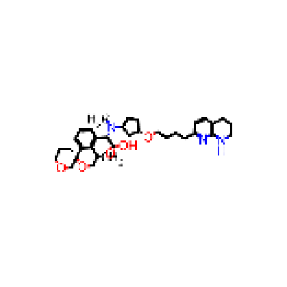 C[C@@H]1CO[C@]2(CCCOC2)c2cccc([C@@H](C(=O)O)N(C)[C@H]3CC[C@H](OCCCCc4ccc5c(n4)NCCC5)C3)c21